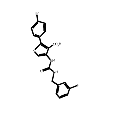 O=C(NCc1cccc(F)c1)Nc1csc(-c2ccc(Br)cc2)c1C(=O)O